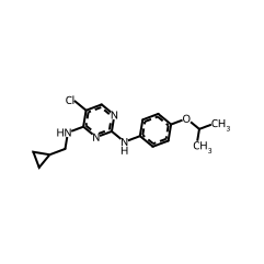 CC(C)Oc1ccc(Nc2ncc(Cl)c(NCC3CC3)n2)cc1